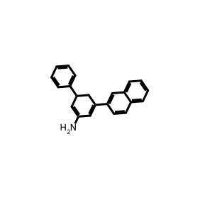 NC1=CC(c2ccccc2)CC(c2ccc3ccccc3c2)=C1